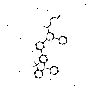 C=C/C=C\C=C(/C)c1cc(-c2ccccc2)nc(-c2cccc(-c3ccc4c(c3)C(C)(C)c3ccccc3N4c3ccccc3)c2)n1